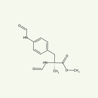 COC(=O)[C@](C)(Cc1ccc(NC=O)cc1)NC=O